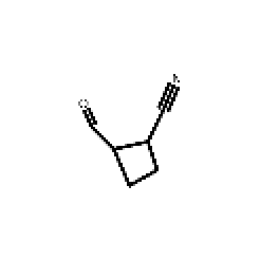 N#CC1CCC1C=O